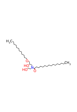 CCCCCCCCCCCCCCCC(=O)N(CCO)CC(O)COCCCCCCCCCCCC